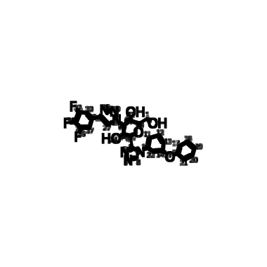 OC[C@H]1O[C@@H](c2nncn2-c2cccc(Oc3ccccc3)c2)[C@H](O)[C@@H](n2cc(-c3cc(F)c(F)c(F)c3)nn2)[C@H]1O